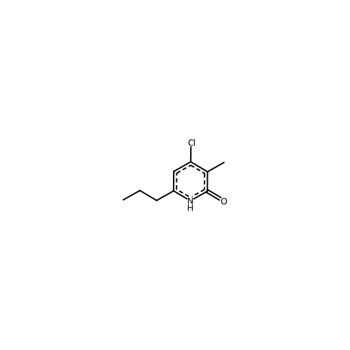 CCCc1cc(Cl)c(C)c(=O)[nH]1